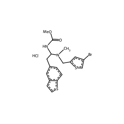 COC(=O)NC(Cc1ccc2sccc2c1)N(C)Cc1cc(Br)cs1.Cl